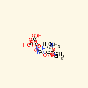 CN(C)c1ccc2c(-c3ccc(C(=O)NCc4ccc(C(=O)NCc5c6oc7cc(O)ccc7c(-c7ccc(C(=O)O)cc7C(=O)O)c-6ccc5=O)nc4)cc3C(=O)O)c3ccc(=[N+](C)C)cc-3oc2c1